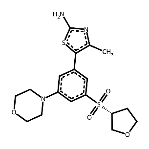 Cc1nc(N)sc1-c1cc(N2CCOCC2)cc(S(=O)(=O)[C@@H]2CCOC2)c1